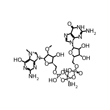 BP(=O)(OP(=O)(O)OC[C@H]1O[C@@H](n2c[n+](C)c3c(O)nc(N)nc32)[C@@H](OC)C1O)OP(=O)(O)OC[C@H]1O[C@@H](n2cnc3c(=O)[nH]c(N)nc32)C(O)[C@H]1O